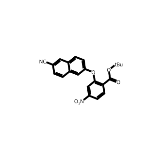 CC(C)(C)OC(=O)c1ccc([N+](=O)[O-])cc1Oc1ccc2cc(C#N)ccc2c1